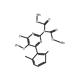 Cc1cccc(C)c1-c1nc(N(C(=O)OC(C)(C)C)C(=O)OC(C)(C)C)nc(Cl)c1OC(C)C